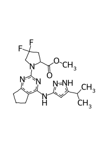 COC(=O)C1CC(F)(F)CN1c1nc2c(c(Nc3cc(C(C)C)[nH]n3)n1)CCC2